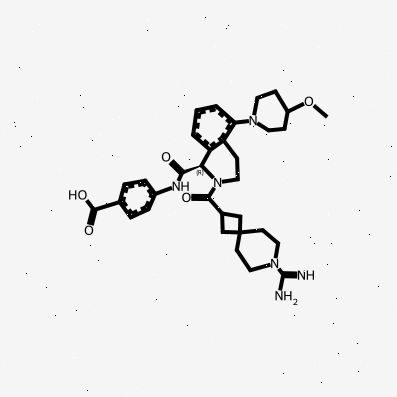 COC1CCN(c2cccc3c2CCN(C(=O)C2CC4(CCN(C(=N)N)CC4)C2)[C@H]3C(=O)Nc2ccc(C(=O)O)cc2)CC1